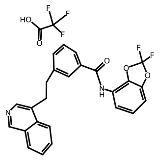 O=C(Nc1cccc2c1OC(F)(F)O2)c1cccc(CCc2cncc3ccccc23)c1.O=C(O)C(F)(F)F